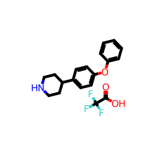 O=C(O)C(F)(F)F.c1ccc(Oc2ccc(C3CCNCC3)cc2)cc1